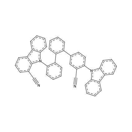 N#Cc1cc(-c2ccccc2-c2ccccc2-n2c3ccccc3c3cccc(C#N)c32)ccc1-n1c2ccccc2c2ccccc21